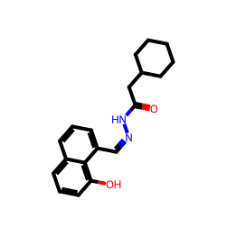 O=C(CC1CCCCC1)N/N=C\c1cccc2cccc(O)c12